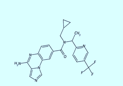 CC(c1ccc(C(F)(F)F)cn1)N(CC1CC1)C(=O)c1ccc2nc(N)c3cncn3c2c1